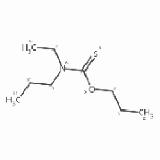 CCCOC(=S)N(CC)CCC